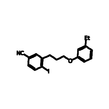 CCc1cccc(OCCCc2cc(C#N)ccc2I)c1